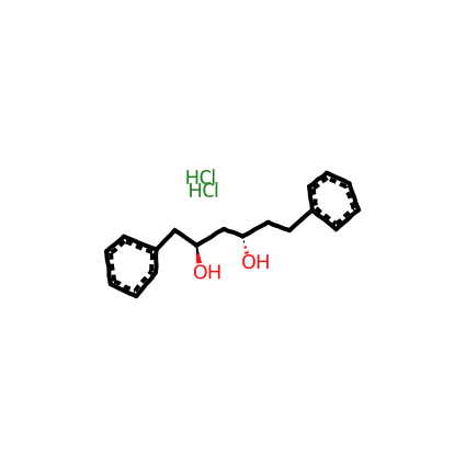 Cl.Cl.O[C@@H](CCc1ccccc1)C[C@@H](O)Cc1ccccc1